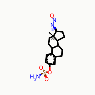 C[C@]12CCC3c4ccc(OS(N)(=O)=O)cc4CCC3C1CC/C2=N\N=O